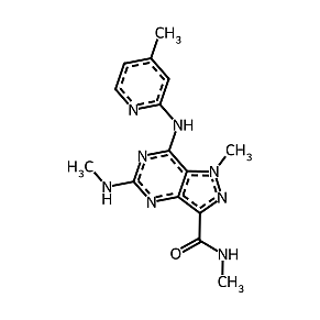 CNC(=O)c1nn(C)c2c(Nc3cc(C)ccn3)nc(NC)nc12